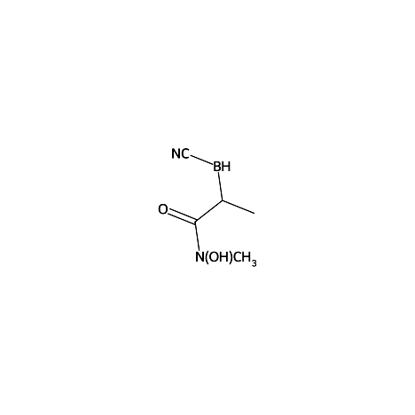 CC(BC#N)C(=O)N(C)O